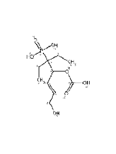 CCC(CC)(C(C=CCO)OC(=O)O)P(=O)(O)O